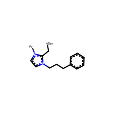 CCCCCCCCCCCc1n(C(C)C)cc[n+]1CCCc1ccccc1